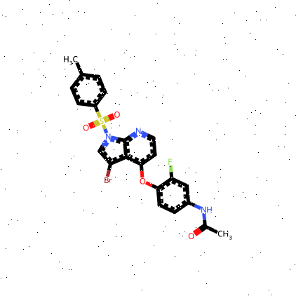 CC(=O)Nc1ccc(Oc2ccnc3c2c(Br)cn3S(=O)(=O)c2ccc(C)cc2)c(F)c1